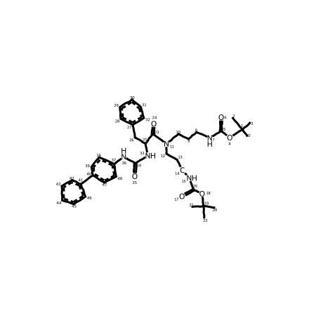 CC(C)(C)OC(=O)NCCCN(CCCNC(=O)OC(C)(C)C)C(=O)C(Cc1ccccc1)NC(=O)Nc1ccc(-c2ccccc2)cc1